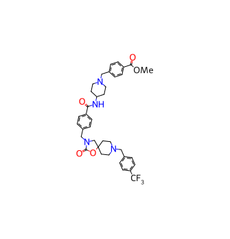 COC(=O)c1ccc(CN2CCC(NC(=O)c3ccc(CN4CC5(CCN(Cc6ccc(C(F)(F)F)cc6)CC5)OC4=O)cc3)CC2)cc1